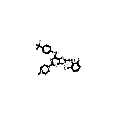 CN1CCN(c2nc(Nc3ccc(C(F)(F)F)cc3)c3nc(Nc4c(Cl)cccc4Cl)[nH]c3n2)CC1